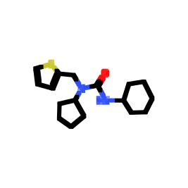 O=C(NC1CCCCC1)N(Cc1cccs1)C1CCCC1